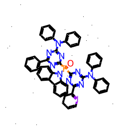 O=P(c1nc(C2=IC=CCC2)nc(N(c2ccccc2)c2ccccc2)n1)(c1nc(-c2ccccc2)nc(N(c2ccccc2)c2ccccc2)n1)n1c2ccccc2c2ccccc21